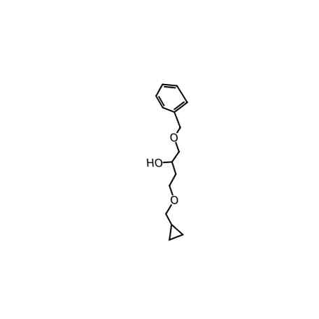 OC(CCOCC1CC1)COCc1ccccc1